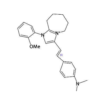 COc1ccccc1-n1cc(/C=C/c2ccc(N(C)C)cc2)[n+]2c1CCCCC2